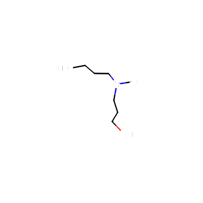 CCCCN(C)CCCO